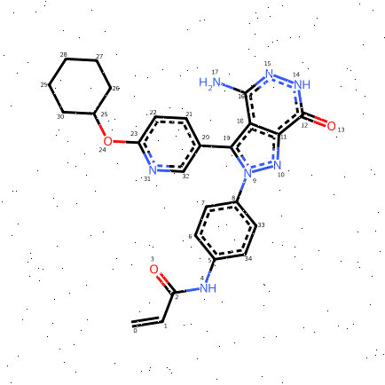 C=CC(=O)Nc1ccc(-n2nc3c(=O)[nH]nc(N)c3c2-c2ccc(OC3CCCCC3)nc2)cc1